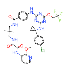 COc1ncccc1NC(=O)C(=O)NCC(C)(C)CNC(=O)c1ccc(Nc2nc(NC3(c4ccc(Cl)cc4)CC3)nc(OCC(F)(F)F)n2)cc1